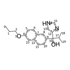 CCCOc1ccc2cc(C(O)(c3c[nH]cn3)C(C)C)ccc2c1